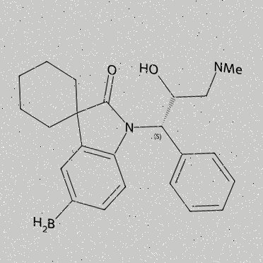 Bc1ccc2c(c1)C1(CCCCC1)C(=O)N2[C@@H](c1ccccc1)C(O)CNC